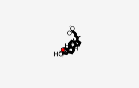 COC[C@]12CC[C@](C)(O)CC1=CC[C@@H]1[C@@H]2CC[C@]2(C)C([C@H](C)/C=C/C(=O)OC)=CC[C@@H]12